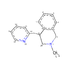 CN1Cc2ccccc2C(c2ccccn2)C1